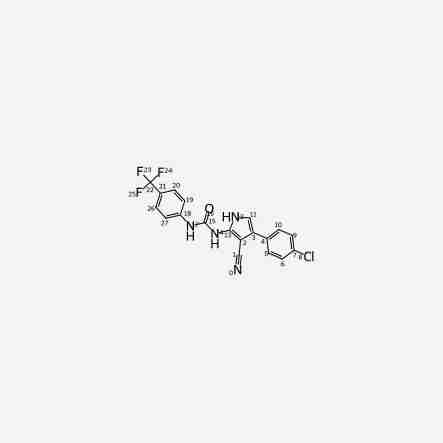 N#Cc1c(-c2ccc(Cl)cc2)c[nH]c1NC(=O)Nc1ccc(C(F)(F)F)cc1